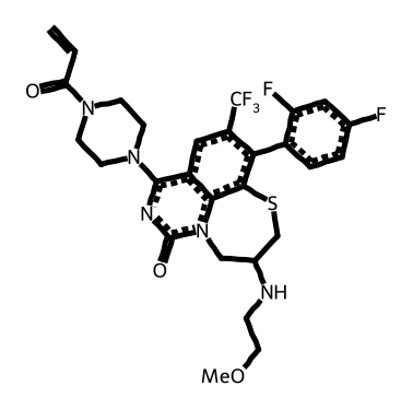 C=CC(=O)N1CCN(c2nc(=O)n3c4c(c(-c5ccc(F)cc5F)c(C(F)(F)F)cc24)SCC(NCCOC)C3)CC1